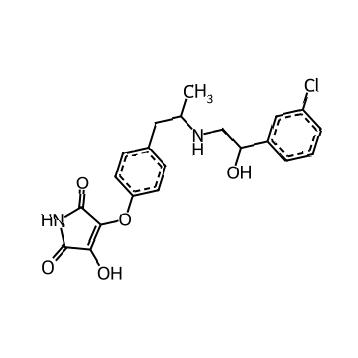 CC(Cc1ccc(OC2=C(O)C(=O)NC2=O)cc1)NCC(O)c1cccc(Cl)c1